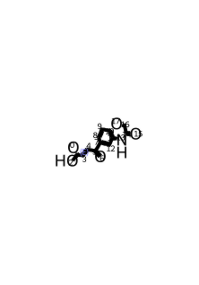 O=C(O)/C=C/C(=O)c1ccc2c(c1)NC(=O)CO2